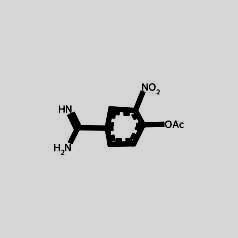 CC(=O)Oc1ccc(C(=N)N)cc1[N+](=O)[O-]